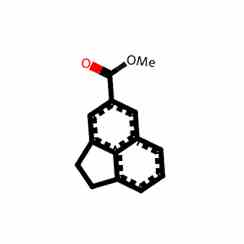 COC(=O)c1cc2c3c(cccc3c1)CC2